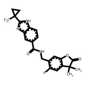 CC1(C)C(=O)Oc2cc(CNC(=O)c3ccc4[nH]c(C5(C(F)(F)F)CC5)nc4c3)c(F)cc21